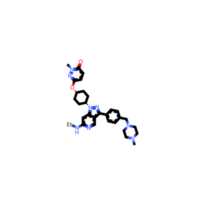 CCNc1cc2c(cn1)c(-c1ccc(CN3CCN(C)CC3)cc1)nn2[C@H]1CC[C@@H](Oc2ccc(=O)n(C)n2)CC1